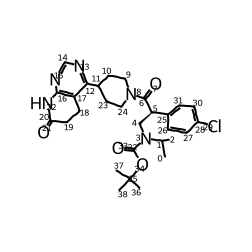 CC(C)N(C[C@@H](C(=O)N1CCC(c2ncnc3c2CCC(=O)N3)CC1)c1ccc(Cl)cc1)C(=O)OC(C)(C)C